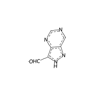 O=[C]c1[nH]nc2cncnc12